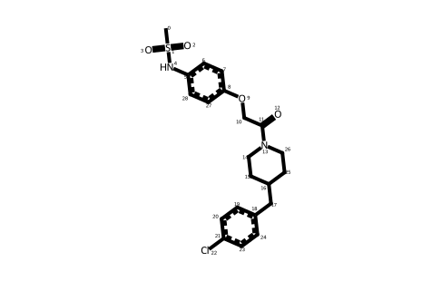 CS(=O)(=O)Nc1ccc(OCC(=O)N2CCC(Cc3ccc(Cl)cc3)CC2)cc1